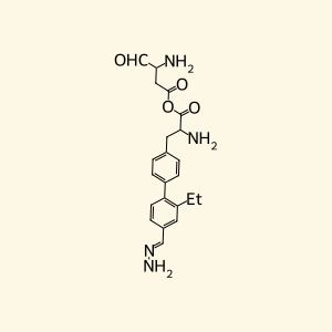 CCc1cc(C=NN)ccc1-c1ccc(CC(N)C(=O)OC(=O)CC(N)C=O)cc1